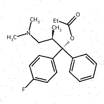 CCC(=O)O[C@](c1ccccc1)(c1ccc(F)cc1)[C@H](C)CN(C)C